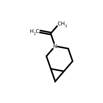 C=C(C)N1CCC2CC2C1